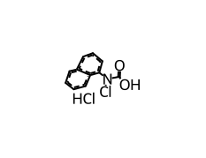 Cl.O=C(O)N(Cl)c1cccc2ccccc12